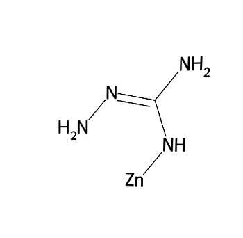 NN=C(N)[NH][Zn]